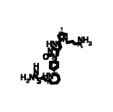 C[C@H]1CC(c2cc3cn(-c4ccc([C@@H]5CCCC[C@@H](CCSC(=N)N)N5)cc4)c(=O)nc3[nH]2)N(CCC[C@@H](C)N)C1